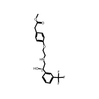 COC(=O)Cc1ccc(OCCNC[C@H](O)c2cccc(C(F)(F)F)c2)cc1